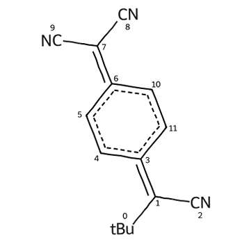 CC(C)(C)C(C#N)=c1ccc(=C(C#N)C#N)cc1